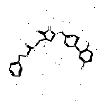 C[C@@]1(CNC(=O)OCc2ccccc2)C[C@@H](Cc2ccc(-c3cc(Cl)ccc3F)cc2)NC1=O